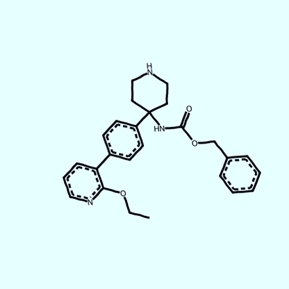 CCOc1ncccc1-c1ccc(C2(NC(=O)OCc3ccccc3)CCNCC2)cc1